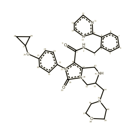 O=C(NCc1ccccc1-c1ncccn1)c1c2n(c(=O)n1-c1ccc(OC3CC3)cc1)CC(CN1CCOCC1)NC2